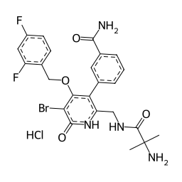 CC(C)(N)C(=O)NCc1[nH]c(=O)c(Br)c(OCc2ccc(F)cc2F)c1-c1cccc(C(N)=O)c1.Cl